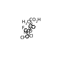 CC(CN1CCN(C(=O)c2cc(F)cnc2Oc2cc(Cl)ccc2Cl)c2ccccc21)C(=O)O